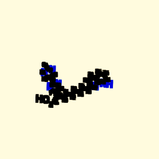 Cc1ncc(-c2ncc([C@@H](CCCCCCCc3ccc4c(n3)NCCC4)C(=O)O)cn2)cn1